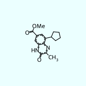 COC(=O)c1cc(C2CCCC2)c2nc(C)c(=O)[nH]c2c1